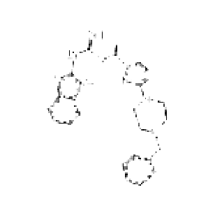 N=C(NC(=O)c1csc(N2CCN(Cc3ccccc3)CC2)n1)Nc1nc2ccccc2[nH]1